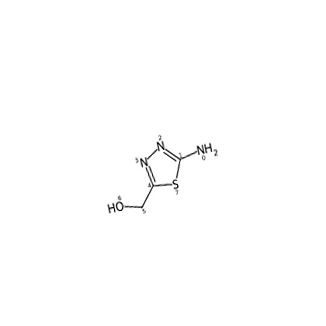 Nc1nnc(CO)s1